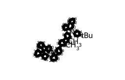 CC(C)(C)c1ccc(N(c2ccc3c(c2)C(C)(C)c2cc(-c4ccc5c6ccccc6n(-c6ccc7c(c6)C(c6ccccc6)(c6ccccc6)c6ccccc6-7)c5c4)ccc2-3)c2cc3ccccc3c3ccccc23)cc1